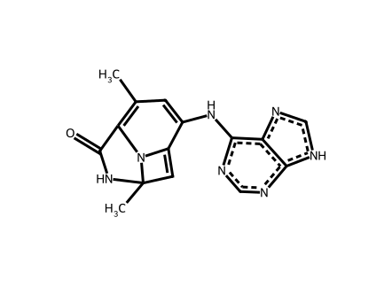 CC1=C2C(=O)NC3(C)C=C(C(Nc4ncnc5[nH]cnc45)=C1)N23